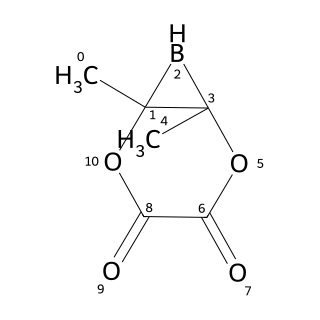 CC12BC1(C)OC(=O)C(=O)O2